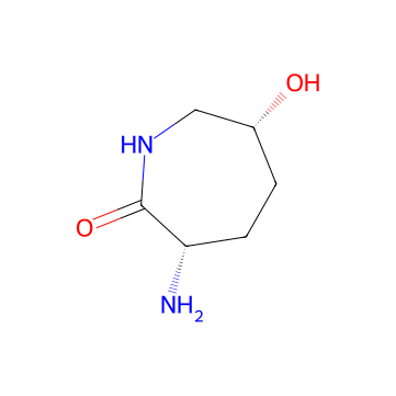 N[C@H]1CC[C@@H](O)CNC1=O